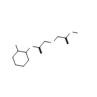 COC(=O)COCC(=O)OC1CCCCC1C